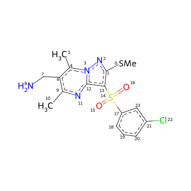 CSc1nn2c(C)c(CN)c(C)nc2c1S(=O)(=O)c1cccc(Cl)c1